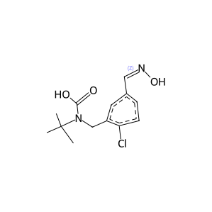 CC(C)(C)N(Cc1cc(/C=N\O)ccc1Cl)C(=O)O